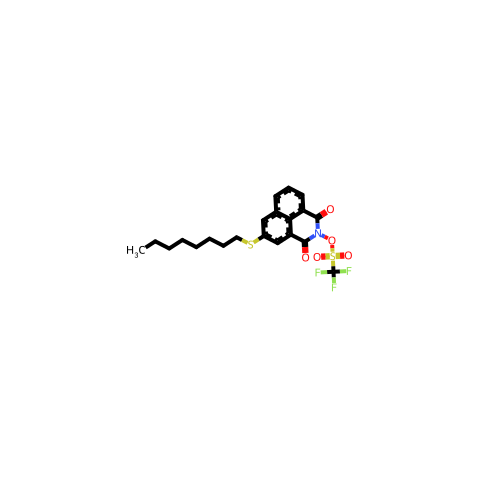 CCCCCCCCSc1cc2c3c(cccc3c1)C(=O)N(OS(=O)(=O)C(F)(F)F)C2=O